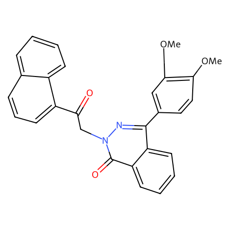 COc1ccc(-c2nn(CC(=O)c3cccc4ccccc34)c(=O)c3ccccc23)cc1OC